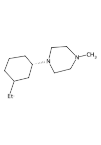 C[CH]C1CCC[C@H](N2CCN(C)CC2)C1